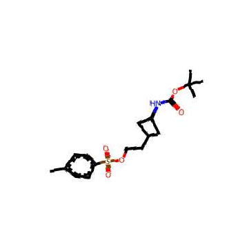 Cc1ccc(S(=O)(=O)OCCC2CC(NC(=O)OC(C)(C)C)C2)cc1